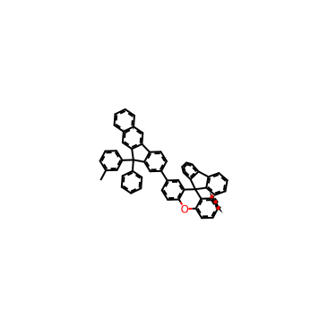 Cc1cccc(C2(c3ccccc3)c3cc(-c4ccc5c(c4)C4(c6ccccc6-c6ccccc64)c4c(ccc6ccccc46)O5)ccc3-c3cc4ccccc4cc32)c1